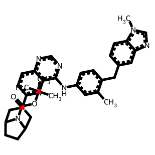 Cc1cc(Nc2ncnc3ccc(N4CC5CCC(C4)N5C(=O)OC(C)(C)C)nc23)ccc1Cc1ccc2c(c1)ncn2C